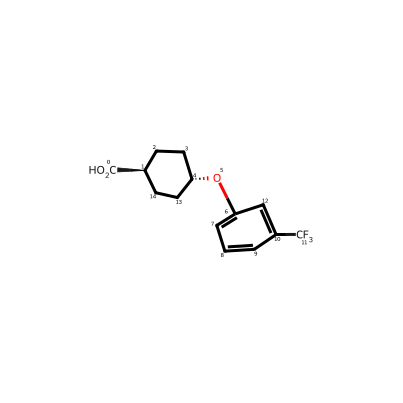 O=C(O)[C@H]1CC[C@H](Oc2cccc(C(F)(F)F)c2)CC1